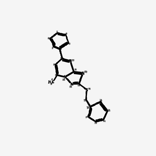 Cc1cc(-c2ccccc2)nc2nc(SCc3ccccc3)nn12